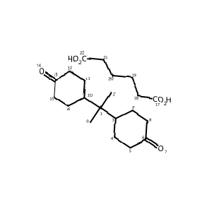 CC(C)(C1CCC(=O)CC1)C1CCC(=O)CC1.O=C(O)CCCCC(=O)O